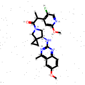 COc1ccc2nc(N[C@@H]3CN(C(=O)C(C)c4cc(OC)ncc4F)CC34CC4)nc(C)c2c1